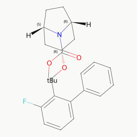 CC(C)(C)OC(=O)N1[C@@H]2CC[C@H]1C[C@@H](OCc1c(F)cccc1-c1ccccc1)C2